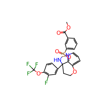 COC(=O)c1cccc(S(=O)(=O)NC2(c3ccc(OC(F)(F)F)c(F)c3)CCOc3cccnc32)c1